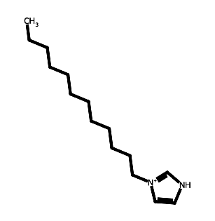 CCCCCCCCCCCC[n+]1cc[nH]c1